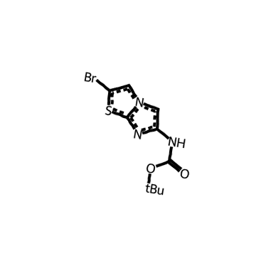 CC(C)(C)OC(=O)Nc1cn2cc(Br)sc2n1